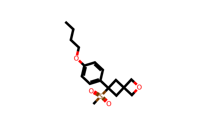 CCCCOc1ccc(C2(S(C)(=O)=O)CC3(COC3)C2)cc1